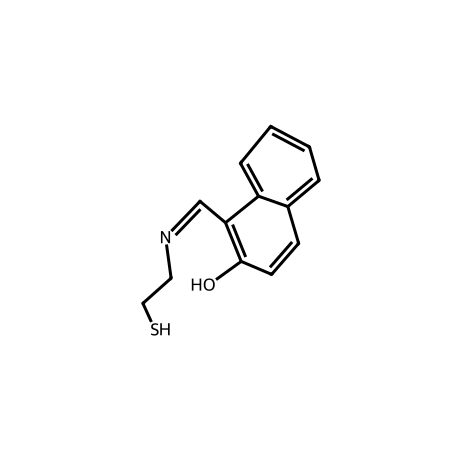 Oc1ccc2ccccc2c1/C=N\CCS